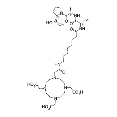 CC(C)[C@H](NC(=O)CCCCCCCNC(=O)CN1CCN(CC(=O)O)CCN(CC(=O)O)CCN(CC(=O)O)CC1)C(=O)N[C@H](C)C(=O)N1CCC[C@H]1B(O)O